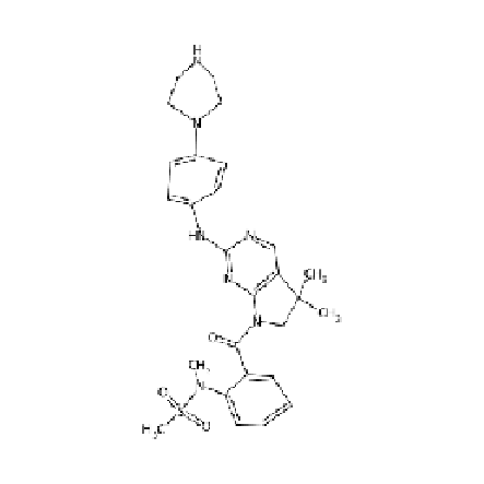 CN(c1ccccc1C(=O)N1CC(C)(C)c2cnc(Nc3ccc(N4CCNCC4)cc3)nc21)S(C)(=O)=O